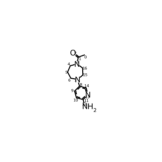 CC(=O)N1CCCN(c2ccc(N)nc2)CC1